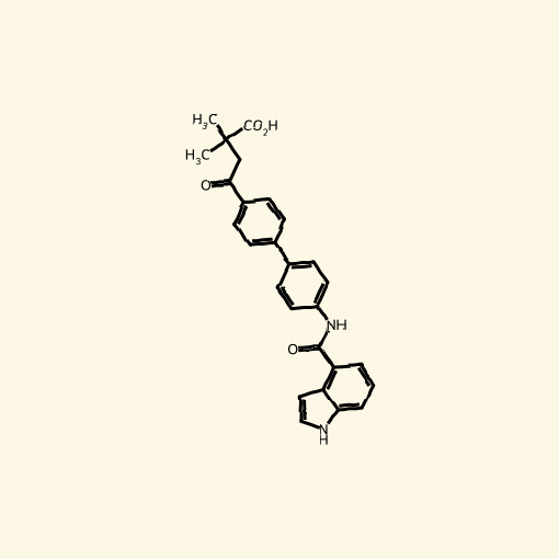 CC(C)(CC(=O)c1ccc(-c2ccc(NC(=O)c3cccc4[nH]ccc34)cc2)cc1)C(=O)O